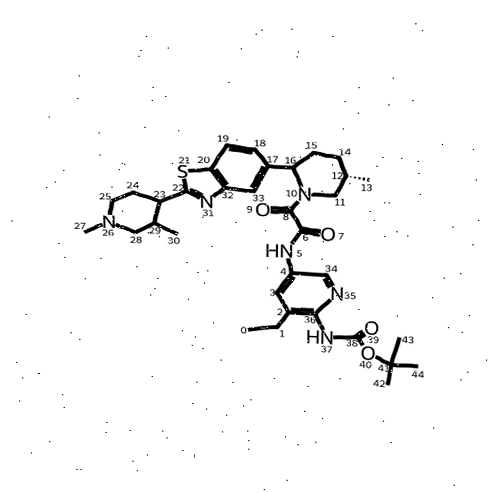 CCc1cc(NC(=O)C(=O)N2C[C@@H](C)CCC2c2ccc3sc(C4CCN(C)CC4C)nc3c2)cnc1NC(=O)OC(C)(C)C